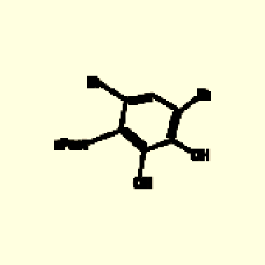 CCCCCc1c(CC)cc(CC)c(O)c1O